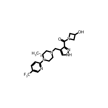 C[C@@H]1CN(Cc2c[nH]nc2C(=O)N2CC(O)C2)CCN1c1ccc(C(F)(F)F)cn1